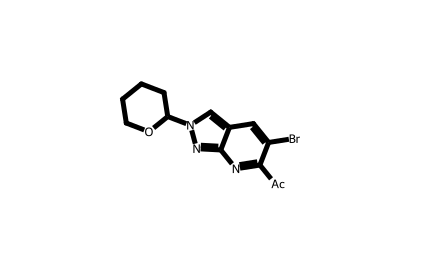 CC(=O)c1nc2nn(C3CCCCO3)cc2cc1Br